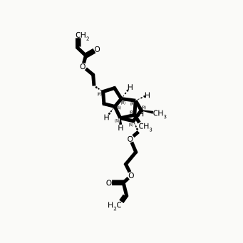 C=CC(=O)OCCOC[C@H]1[C@H](C)[C@H]2[C@@H](C)[C@H]1[C@H]1C[C@H](CCOC(=O)C=C)C[C@H]12